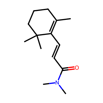 CC1=C(C=CC(=O)N(C)C)C(C)(C)CCC1